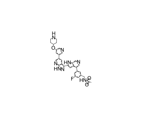 CS(=O)(=O)NCc1cc(F)cc(-c2cncc3[nH]c(-c4n[nH]c5ncc(-c6cncc(OC7CCNCC7)c6)cc45)cc23)c1